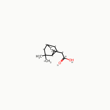 CC1(C)CC2CCC1C(CC(=O)O)C2